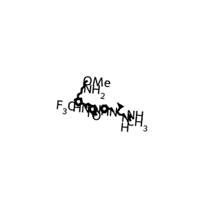 COC[C@H](N)CCCc1cc(-c2cc3cn(-c4ccc(CNC(CCNC(C)=N)C5CC5)cc4)c(=O)nc3[nH]2)cc(C(F)(F)F)c1